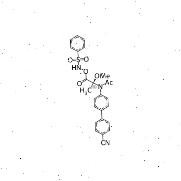 CO[C@@](C)(C(=O)ONS(=O)(=O)c1ccccc1)N(C(C)=O)c1ccc(-c2ccc(C#N)cc2)cc1